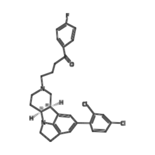 O=C(CCCN1CC[C@H]2[C@@H](C1)c1cc(-c3ccc(Cl)cc3Cl)cc3c1N2CC3)c1ccc(F)cc1